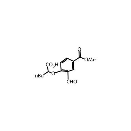 CCCCC(Oc1ccc(C(=O)OC)cc1C=O)C(=O)O